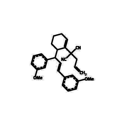 C=CCC(C#N)(C#N)C1=CCCCC1C(C=Cc1cccc(OC)c1)c1cccc(OC)c1